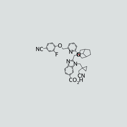 N#CCC1(Cn2c(CN3CC4CCC(C3)C4Oc3cccc(COc4ccc(C#N)cc4F)n3)nc3ccc(C(=O)O)cc32)CC1